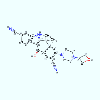 CC1(C)c2cc(N3CCN(C4COC4)CC3)c(C#N)cc2C(=O)c2c1[nH]c1cc(C#N)ccc21